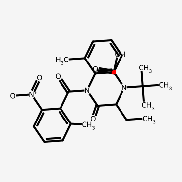 CCC(C(=O)N(C(=O)c1c(C)cccc1[N+](=O)[O-])c1ccccc1C)N(C(=O)O)C(C)(C)C